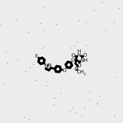 COCCC1(Oc2ccc(Oc3ccc(-c4ccn(-c5ccc(F)cc5)n4)cc3)cc2)C(=O)NC(=O)NC1=O